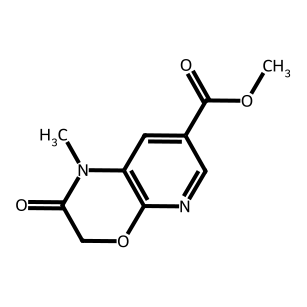 COC(=O)c1cnc2c(c1)N(C)C(=O)CO2